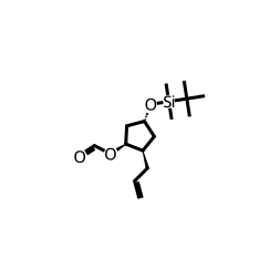 C=CC[C@@H]1C[C@@H](O[Si](C)(C)C(C)(C)C)C[C@@H]1OC=O